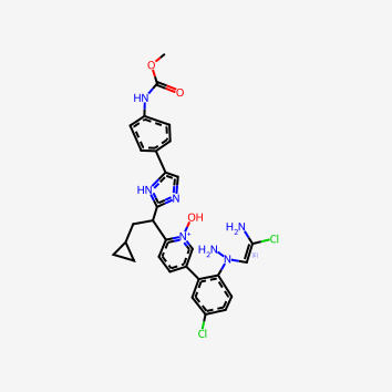 COC(=O)Nc1ccc(-c2cnc(C(CC3CC3)c3ccc(-c4cc(Cl)ccc4N(N)/C=C(\N)Cl)c[n+]3O)[nH]2)cc1